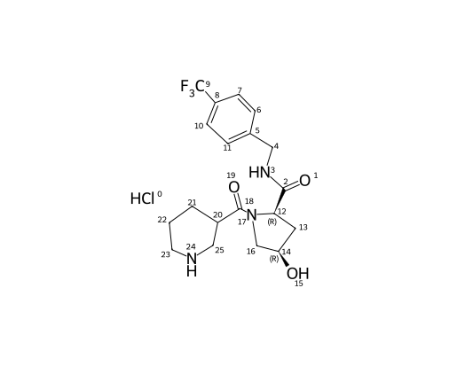 Cl.O=C(NCc1ccc(C(F)(F)F)cc1)[C@H]1C[C@@H](O)CN1C(=O)C1CCCNC1